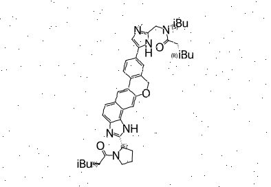 CC[C@@H](C)CC(=O)N(Cc1ncc(-c2ccc3c(c2)COc2cc4c(ccc5nc([C@@H]6CCCN6C(=O)C[C@H](C)CC)[nH]c54)cc2-3)[nH]1)[C@@H](C)CC